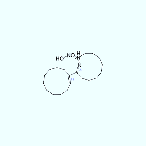 C1=C(/C2=N\NCCCCCCCC2)CCCCCCCCC/1.O=[N+]([O-])O